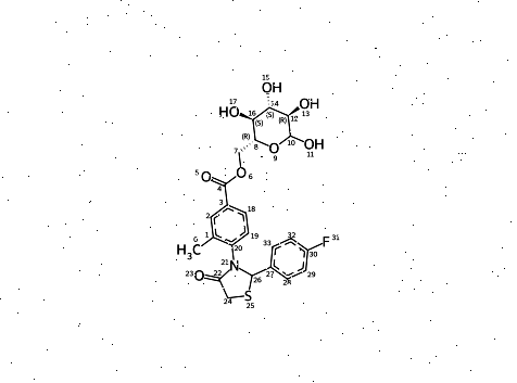 Cc1cc(C(=O)OC[C@H]2OC(O)[C@H](O)[C@@H](O)[C@@H]2O)ccc1N1C(=O)CSC1c1ccc(F)cc1